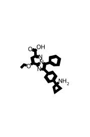 CCOc1cc(C(=O)O)nn2c(-c3ccccc3)c(-c3ccc(C4(N)CCC4)cc3)nc12